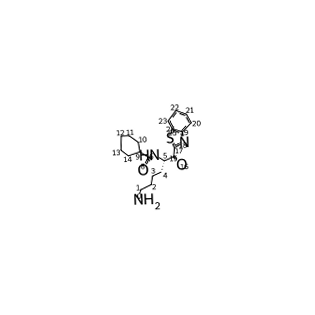 NCCCC[C@H](NC(=O)C1CCCCC1)C(=O)c1nc2ccccc2s1